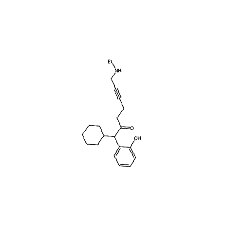 CCNCC#CCCC(=O)C(c1ccccc1O)C1CCCCC1